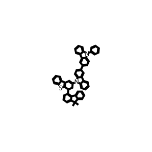 CC1(C)c2ccccc2-c2c(C3CC(n4c5ccccc5c5cc(-c6ccc7c(c6)c6ccccc6n7-c6ccccc6)ccc54)=Cc4c3sc3ccccc43)cccc21